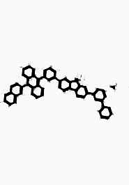 CC(C)Oc1cc(-c2ccccc2)cc(-c2ccc3c(c2)C(C)(C)c2cc(-c4cccc(-c5c6ccccc6c(-c6ccc7ccccc7c6)c6ccccc56)c4)ccc2-3)c1